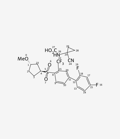 CO[C@H]1CC[C@H](S(=O)(=O)c2ccc(-c3ccc(F)cc3F)cc2C(F)(F)F)C1.N#CC1(NC(=O)O)CC1